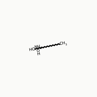 CCCCCCCCCCCCCCCC=CC(O)C(N)CO